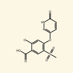 CS(=O)(=O)c1cc(C(=O)O)c(Cl)cc1Oc1ccc(=O)[nH]n1